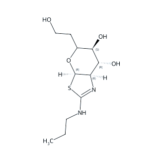 CCCNC1=N[C@@H]2[C@@H](O)[C@H](O)C(CCO)O[C@@H]2S1